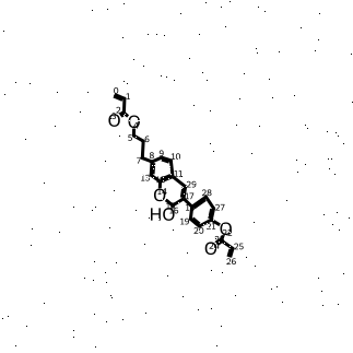 C=CC(=O)OCCCc1ccc2c(c1)OC(O)C(c1ccc(OC(=O)C=C)cc1)=C2